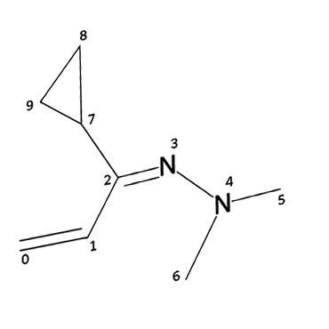 C=C/C(=N\N(C)C)C1CC1